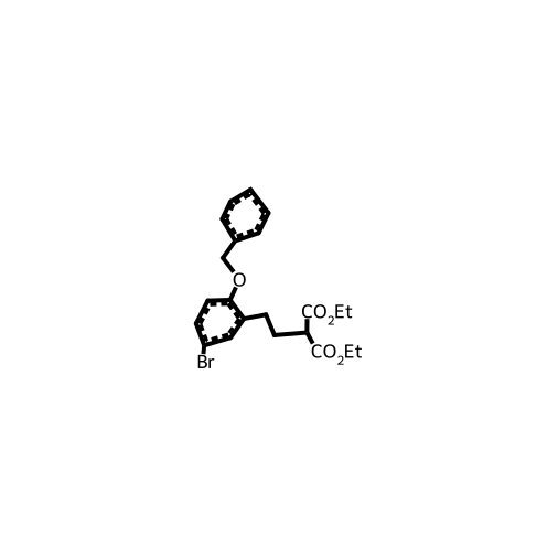 CCOC(=O)C(CCc1cc(Br)ccc1OCc1ccccc1)C(=O)OCC